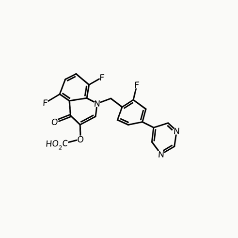 O=C(O)Oc1cn(Cc2ccc(-c3cncnc3)cc2F)c2c(F)ccc(F)c2c1=O